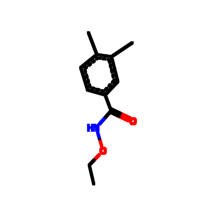 CCONC(=O)c1ccc(C)c(C)c1